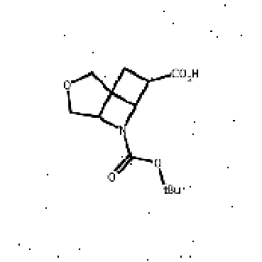 CC(C)(C)OC(=O)N1C2COCC23CC(C(=O)O)C13